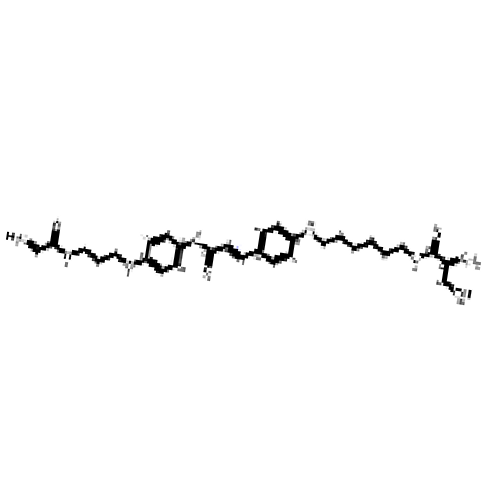 C=CC(=O)OCCCOc1ccc(OC(=O)/C=C/c2ccc(OCCCCCCOC(=O)C(=C)CO)cc2)cc1